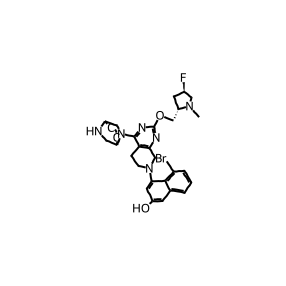 CN1C[C@H](F)C[C@H]1COc1nc2c(c(N3CC4CCCC3CN4)n1)CCN(c1cc(O)cc3cccc(Br)c13)C2